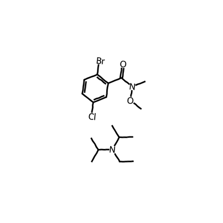 CCN(C(C)C)C(C)C.CON(C)C(=O)c1cc(Cl)ccc1Br